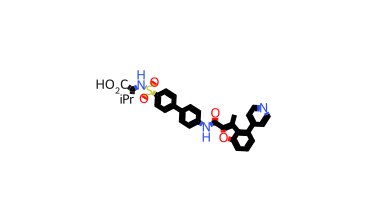 Cc1c(C(=O)Nc2ccc(-c3ccc(S(=O)(=O)NC(C(=O)O)C(C)C)cc3)cc2)oc2cccc(-c3ccncc3)c12